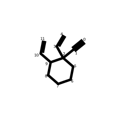 C#CC1(C=C)CCCCC1C=C